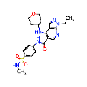 CCn1ncc2c(NC3CCOCC3)c(C(=O)Nc3ccc(S(=O)(=O)NC)cc3)cnc21